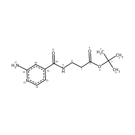 CC(C)(C)OC(=O)CCNC(=O)c1ccnc(N)c1